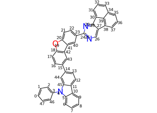 c1ccc(-n2c3ccccc3c3ccc(-c4ccc5oc6ccc(-c7ncc8c(n7)-c7cccc9cccc-8c79)cc6c5c4)cc32)cc1